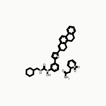 NC(=O)CC1C=CC=CS1(=O)=O.O=C(NCC1CCCCC1)N(O)c1cccc(-c2ccc(C3=Cc4ccc5c(c4CC3)CCc3ccccc3-5)s2)c1